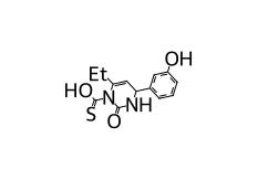 CCC1=CC(c2cccc(O)c2)NC(=O)N1C(O)=S